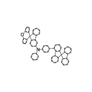 c1ccc(N(c2ccc(-c3cccc4c3-c3ccccc3C43c4ccccc4-c4ccccc43)cc2)c2ccc3c(c2)-c2ccccc2C32c3ccccc3Oc3ccccc32)cc1